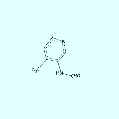 Cc1c[c]ncc1NC=O